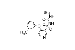 Cc1cccc(Oc2ccncc2S(=O)(=O)NC(=O)NC(C)(C)C)c1